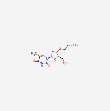 CCCCCCCCCCCCOC1C[C@H](n2cc(C)c(=O)[nH]c2=O)O[C@@H]1CO